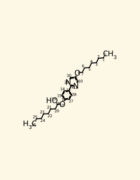 CCCCCCCCOc1cnc(-c2ccc(OC(O)CCCCCCC)cc2)nc1